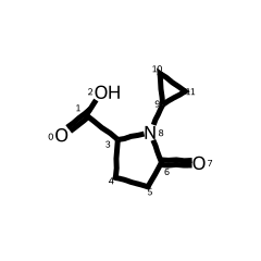 O=C(O)C1CCC(=O)N1C1CC1